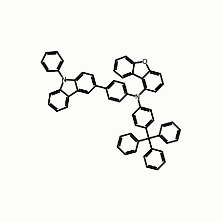 c1ccc(-n2c3ccccc3c3cc(-c4ccc(N(c5ccc(C(c6ccccc6)(c6ccccc6)c6ccccc6)cc5)c5cccc6oc7ccccc7c56)cc4)ccc32)cc1